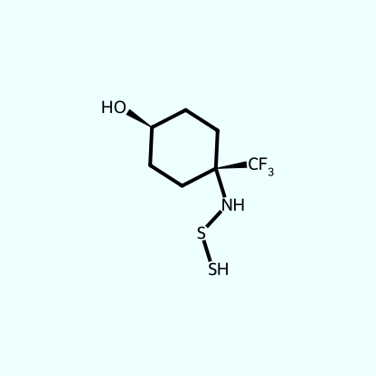 O[C@H]1CC[C@@](NSS)(C(F)(F)F)CC1